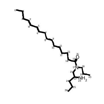 CCCCCCCCCCCCCCCC(=O)N(CCC)CC(N)CCC